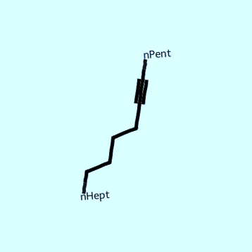 [CH2]CCCCC#CCCCCCCCCCC[CH2]